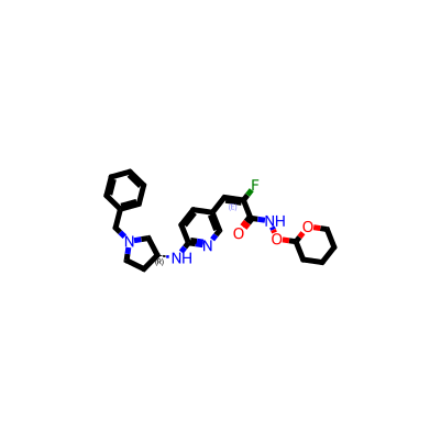 O=C(NOC1CCCCO1)/C(F)=C\c1ccc(N[C@@H]2CCN(Cc3ccccc3)C2)nc1